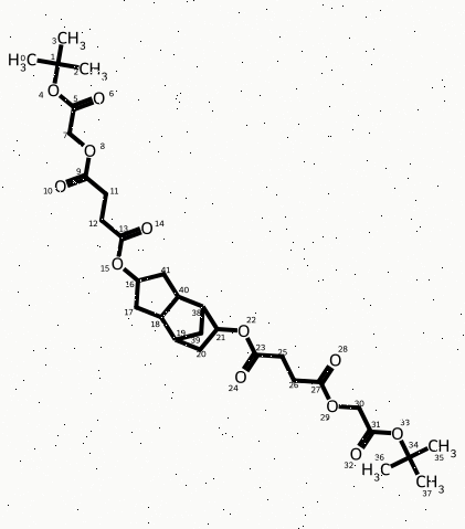 CC(C)(C)OC(=O)COC(=O)CCC(=O)OC1CC2C3CC(OC(=O)CCC(=O)OCC(=O)OC(C)(C)C)C(C3)C2C1